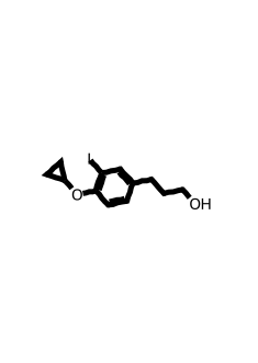 OCCCc1ccc(OC2CC2)c(I)c1